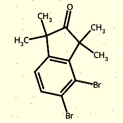 CC1(C)C(=O)C(C)(C)c2c1ccc(Br)c2Br